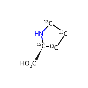 O=[13C](O)[13C@@H]1[13CH2][13CH2][13CH2]N1